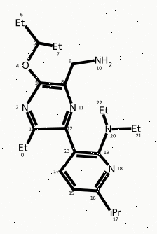 CCc1nc(OC(CC)CC)c(CN)nc1-c1ccc(C(C)C)nc1N(CC)CC